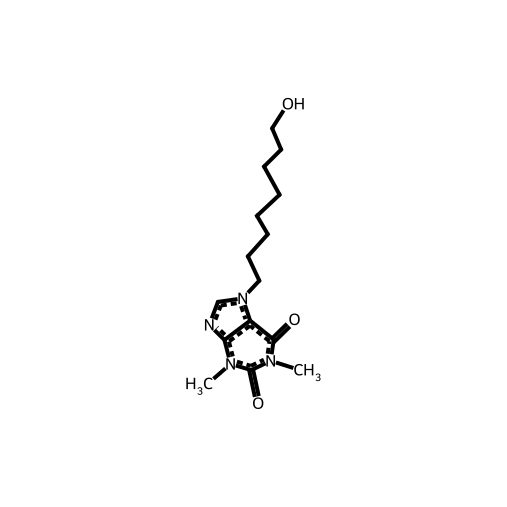 Cn1c(=O)c2c(ncn2CCCCCCCCO)n(C)c1=O